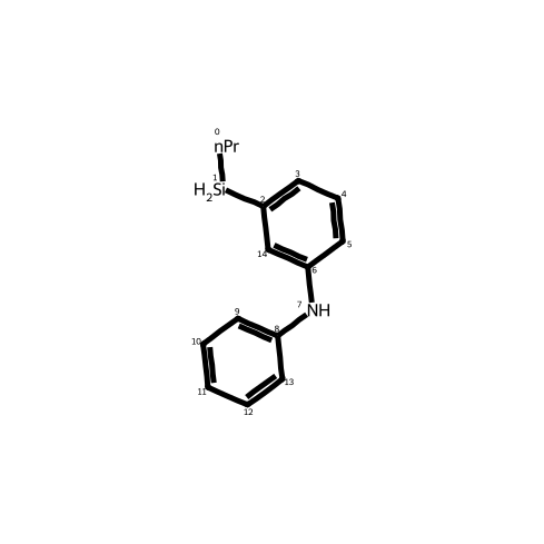 CCC[SiH2]c1cccc(Nc2ccccc2)c1